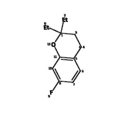 CCC1(CC)C[C]c2ccc(F)cc2O1